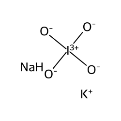 [K+].[NaH].[O-][I+3]([O-])([O-])[O-]